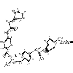 CCCCCCCOc1ccc(C(=O)Oc2ccc(C[C@H](NC(=O)c3ccc(NC(=O)Cc4ccccn4)cc3)C(C)=O)cc2)cc1